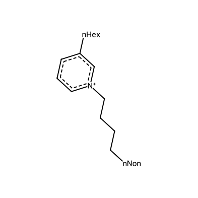 CCCCCCCCCCCCC[n+]1cccc(CCCCCC)c1